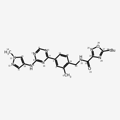 Cc1cc(-c2ncnc(Nc3cnn(C)c3)n2)ccc1CNC(=O)c1noc(C(C)(C)C)n1